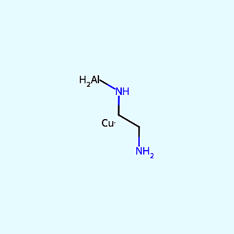 NCC[NH][AlH2].[Cu]